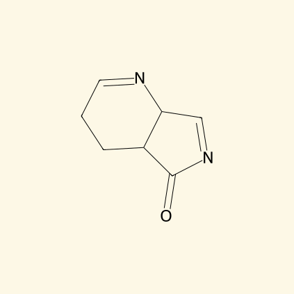 O=C1N=CC2N=CCCC12